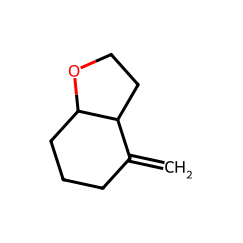 C=C1CCCC2OCCC12